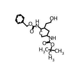 CC(C)(C)OC(=O)NC1CCC(NC(=O)OCc2ccccc2)C(CCO)C1